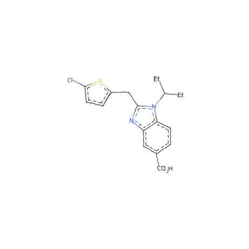 CCC(CC)n1c(Cc2ccc(Cl)s2)nc2cc(C(=O)O)ccc21